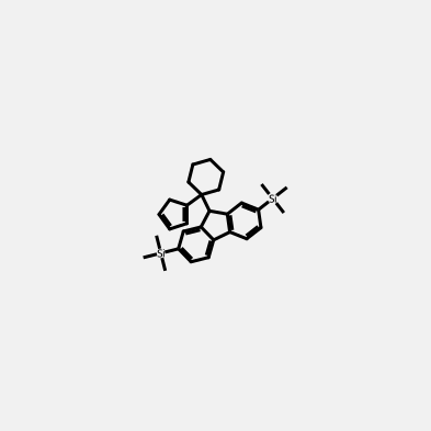 C[Si](C)(C)c1ccc2c(c1)C(C1(C3=CC=CC3)CCCCC1)c1cc([Si](C)(C)C)ccc1-2